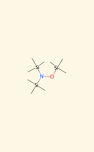 C[Si](C)(C)ON([Si](C)(C)C)[Si](C)(C)C